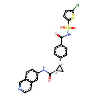 O=C(NS(=O)(=O)c1ccc(Cl)s1)c1ccc([C@@H]2C[C@H]2C(=O)Nc2ccc3cnccc3c2)cc1